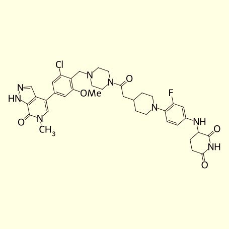 COc1cc(-c2cn(C)c(=O)c3[nH]ncc23)cc(Cl)c1CN1CCN(C(=O)CC2CCN(c3ccc(NC4CCC(=O)NC4=O)cc3F)CC2)CC1